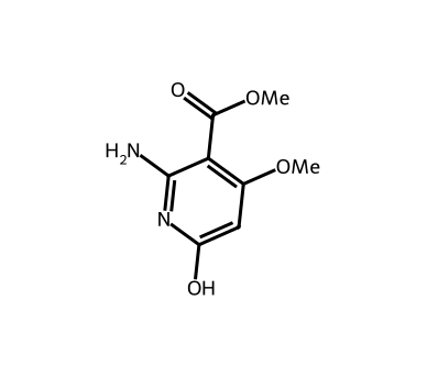 COC(=O)c1c(OC)cc(O)nc1N